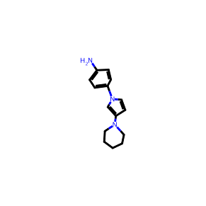 Nc1ccc(-n2ccc(N3CCCCC3)c2)cc1